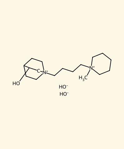 C[N+]1(CCCC[N+]23CCC(CC2)C(O)C3)CCCCC1.[OH-].[OH-]